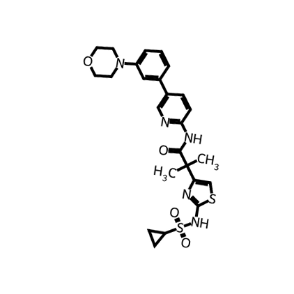 CC(C)(C(=O)Nc1ccc(-c2cccc(N3CCOCC3)c2)cn1)c1csc(NS(=O)(=O)C2CC2)n1